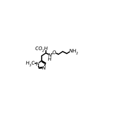 Cn1cncc1CC(NOCCCN)C(=O)O